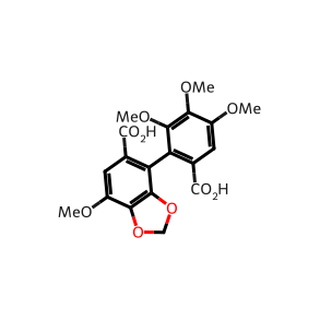 COc1cc(C(=O)O)c(-c2c(C(=O)O)cc(OC)c3c2OCO3)c(OC)c1OC